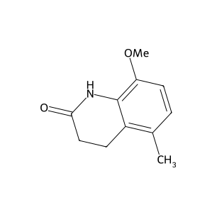 COc1ccc(C)c2c1NC(=O)CC2